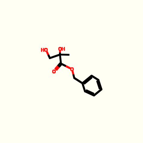 CC(O)(CO)C(=O)OCc1ccccc1